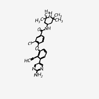 C#Cc1c(Oc2ccc(C(=O)NC3CC(C)(C)NC(C)(C)C3)cc2Cl)cccc1-c1cnc(N)nc1